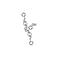 O=C(c1ccc(O)cc1C(=O)N1CCN(C=Cc2ccccc2)CC1)N1CCN(C=Cc2ccccc2)CC1